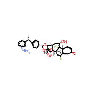 C[C@H](c1ccc([C@H]2O[C@@H]3C[C@H]4[C@@H]5C[C@H](F)C6=CC(=O)C=C[C@]6(C)[C@@]5(F)[C@@H](O)C[C@]4(C)[C@]3(C(=O)CO)O2)cc1)c1cccc(N)c1